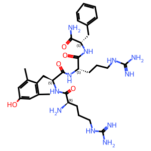 Cc1cc(O)cc(C)c1C[C@H](NC(=O)[C@H](N)CCCNC(=N)N)C(=O)N[C@@H](CCCNC(=N)N)C(=O)N[C@@H](Cc1ccccc1)C(N)=O